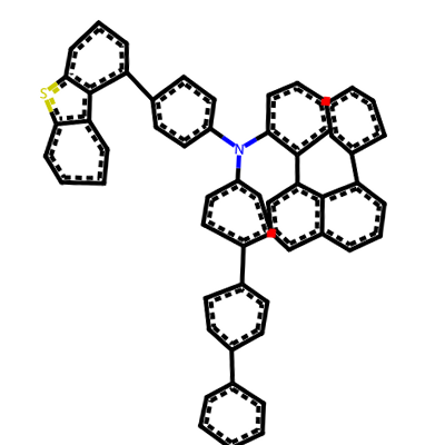 c1ccc(-c2ccc(-c3ccc(N(c4ccc(-c5cccc6sc7ccccc7c56)cc4)c4ccccc4-c4cccc5cccc(-c6ccccc6)c45)cc3)cc2)cc1